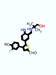 CC(C)(CO)N/C=C1/C=C(c2sc(C=O)cc2-c2ccc(C#N)c(F)c2)C=CC1=N